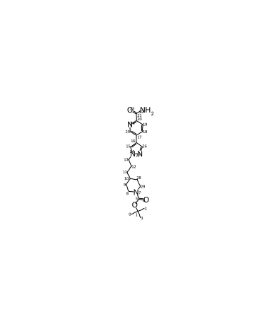 CC(C)(C)OC(=O)N1CCC(CCCn2cc(-c3ccc(C(N)=O)nc3)cn2)CC1